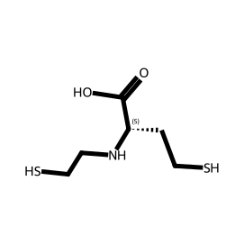 O=C(O)[C@H](CCS)NCCS